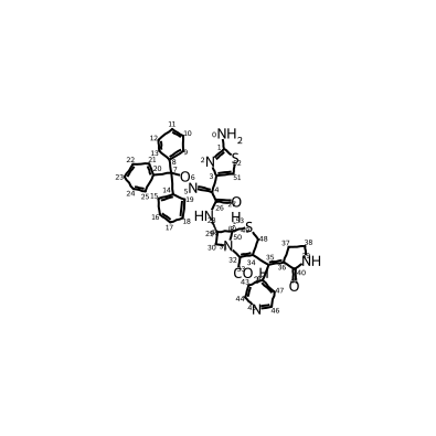 Nc1nc(C(=NOC(c2ccccc2)(c2ccccc2)c2ccccc2)C(=O)N[C@@H]2CN3C(C(=O)O)=C(C(=C4CCNC4=O)c4ccncc4)CS[C@H]23)cs1